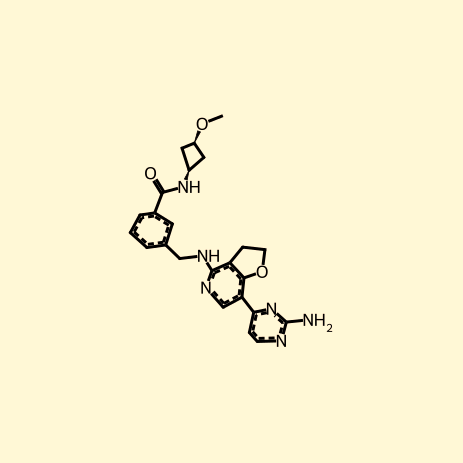 CO[C@H]1C[C@@H](NC(=O)c2cccc(CNc3ncc(-c4ccnc(N)n4)c4c3CCO4)c2)C1